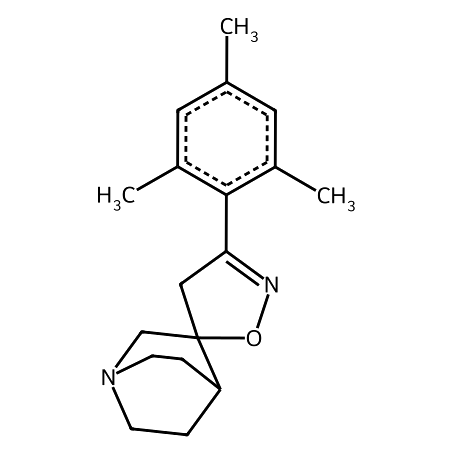 Cc1cc(C)c(C2=NOC3(C2)CN2CCC3CC2)c(C)c1